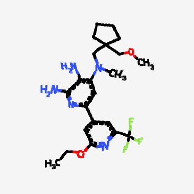 CCOc1cc(-c2cc(N(C)CC3(COC)CCCC3)c(N)c(N)n2)cc(C(F)(F)F)n1